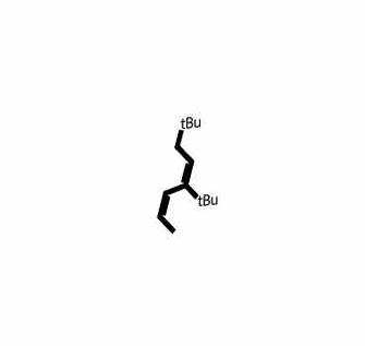 C/C=C\C(=C/CC(C)(C)C)C(C)(C)C